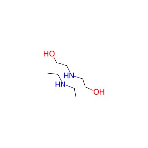 CCNCC.OCCNCCO